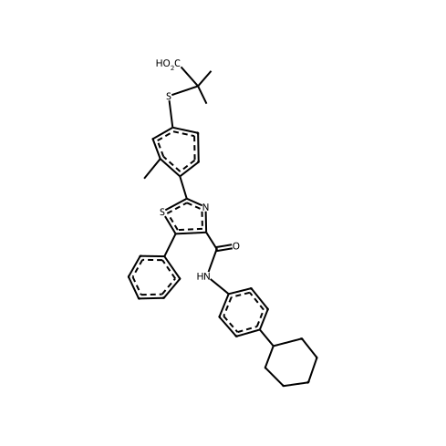 Cc1cc(SC(C)(C)C(=O)O)ccc1-c1nc(C(=O)Nc2ccc(C3CCCCC3)cc2)c(-c2ccccc2)s1